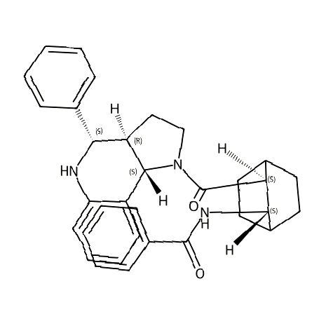 O=C(N[C@H]1C2CCC(CC2)[C@@H]1C(=O)N1CC[C@@H]2[C@@H](c3ccccc3)Nc3ccccc3[C@H]21)c1ccccc1